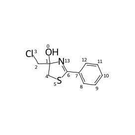 OC1(CCl)CSC(c2ccccc2)=N1